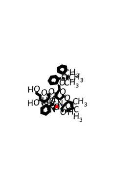 CC1[C@@H]2OCC(O2)C(O[C@@H]2OC(CO[Si](c3ccccc3)(c3ccccc3)C(C)(C)C)[C@@H](O[C@@H]3OC(CO)[C@@H](O)[C@H](C)C3OC(=O)c3ccccc3)[C@H](C)C2N=[N+]=[N-])[C@@H]1C